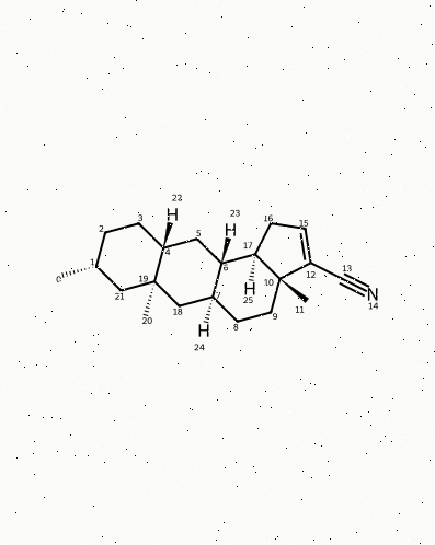 C[C@@H]1CC[C@@H]2C[C@H]3[C@@H](CC[C@@]4(C)C(C#N)=CC[C@H]34)C[C@@]2(C)C1